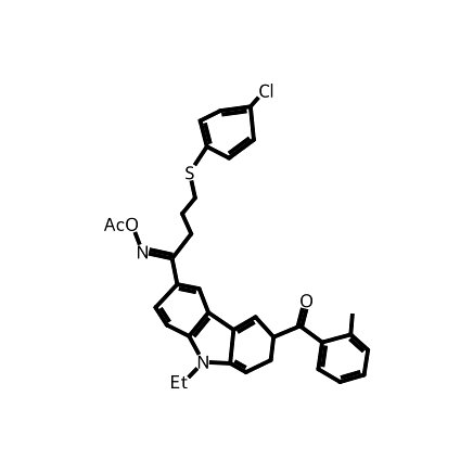 CCn1c2c(c3cc(/C(CCCSc4ccc(Cl)cc4)=N/OC(C)=O)ccc31)=CC(C(=O)c1ccccc1C)CC=2